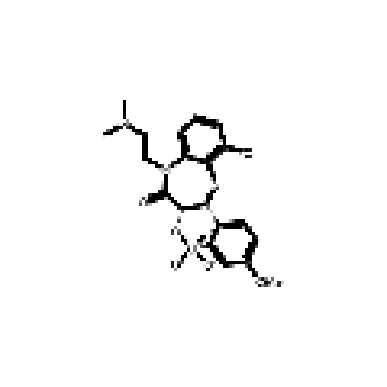 COc1ccc([C@H]2Sc3c(Cl)cccc3N(CCN(C)C)C(=O)[C@H]2O[Cl+3]([O-])([O-])[O-])cc1